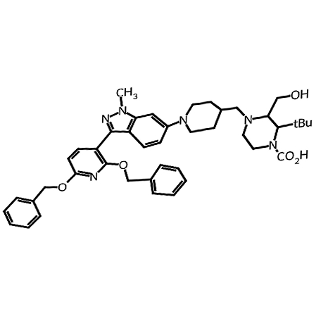 Cn1nc(-c2ccc(OCc3ccccc3)nc2OCc2ccccc2)c2ccc(N3CCC(CN4CCN(C(=O)O)C(C(C)(C)C)C4CO)CC3)cc21